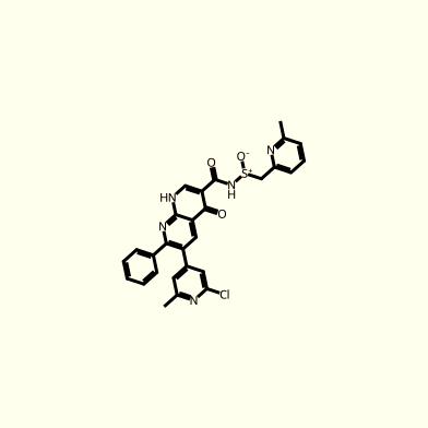 Cc1cc(-c2cc3c(=O)c(C(=O)N[S+]([O-])Cc4cccc(C)n4)c[nH]c3nc2-c2ccccc2)cc(Cl)n1